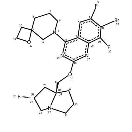 Fc1cc2c(N3CCCC4(CCO4)C3)nc(OC[C@@]34CCCN3C[C@H](F)C4)nc2c(F)c1Br